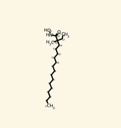 CCCCCCCCCCCCCCCC(C)(CC)C(=O)NO